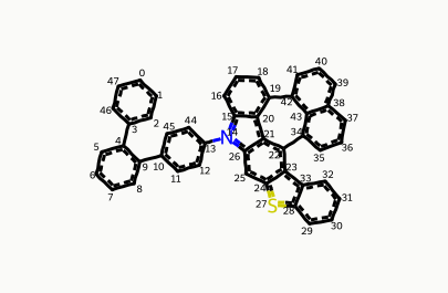 c1ccc(-c2ccccc2-c2ccc(-n3c4cccc5c4c4c(c6c(cc43)sc3ccccc36)-c3cccc4cccc-5c34)cc2)cc1